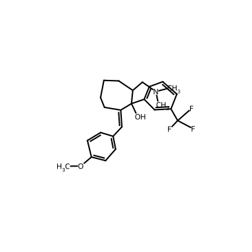 COc1ccc(C=C2CCCCC(CN(C)C)C2(O)c2cccc(C(F)(F)F)c2)cc1